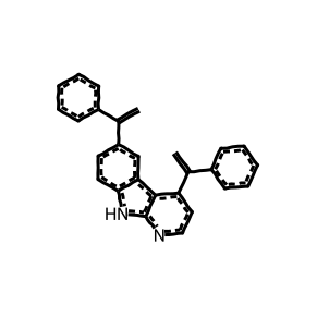 C=C(c1ccccc1)c1ccc2[nH]c3nccc(C(=C)c4ccccc4)c3c2c1